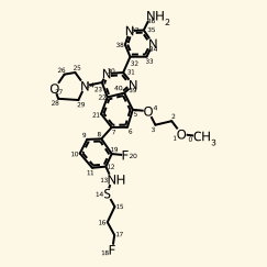 COCCOc1cc(-c2cccc(NSCCCF)c2F)cc2c(N3CCOCC3)nc(-c3cnc(N)nc3)nc12